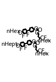 CCCCCCCOc1ccc(-c2ccc(OC(=O)OCCC(CCCCCC)C(F)(F)F)cc2)c(F)c1F.CCCCCCOc1ccc(-c2ccc(OC(=O)OCCC(CCCCCC)C(F)(F)F)cc2)c(F)c1F